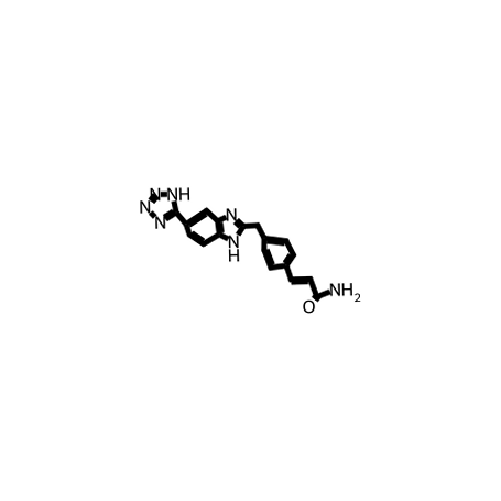 NC(=O)/C=C/c1ccc(Cc2nc3cc(-c4nnn[nH]4)ccc3[nH]2)cc1